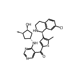 [CH2][C@@H]1C[C@@H](Nc2ncncc2C(=O)c2cc([C@H]3NCCc4ccc(Cl)cc43)c(C)s2)C[C@@H]1O